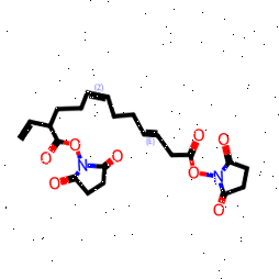 C=CC(CC/C=C\CC/C=C/CC(=O)ON1C(=O)CCC1=O)C(=O)ON1C(=O)CCC1=O